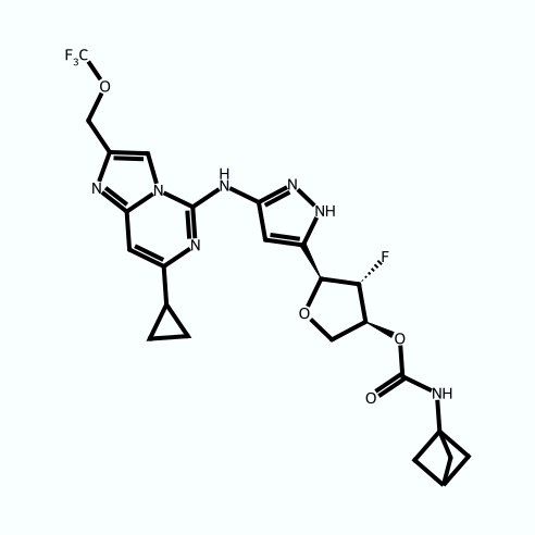 O=C(NC12CC(C1)C2)O[C@H]1CO[C@@H](c2cc(Nc3nc(C4CC4)cc4nc(COC(F)(F)F)cn34)n[nH]2)[C@@H]1F